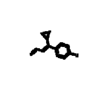 O=CC=C(c1ccc(Cl)cc1)C1CC1